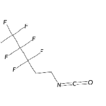 O=C=NCCC(F)(F)C(F)(F)C(F)(F)F